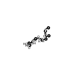 O=C(NCc1ccnc(-c2cccc(C(C(=O)OCC3CCN(Cc4ccccc4)CC3)c3ccccc3)c2)n1)c1ccc(CNCC(O)c2ccc(O)c3[nH]c(=O)ccc23)cc1